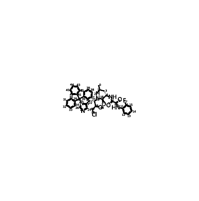 CC(C)C[C@H](NC(=O)C(=O)Nc1ccccc1F)C(=O)N[C@@H](Cc1cncn1C(c1ccccc1)(c1ccccc1)c1ccccc1)C(=O)CCl